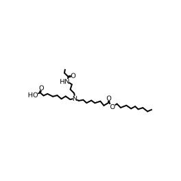 CCCCCCCCCOC(=O)CCCCCCCN(CCCCCCCC(=O)O)CCCNC(=O)CC